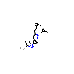 CCCC(C[C@H]1CC1NC(C)C)N[C@@H]1CC1C